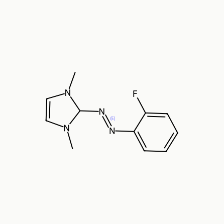 CN1C=CN(C)C1/N=N/c1ccccc1F